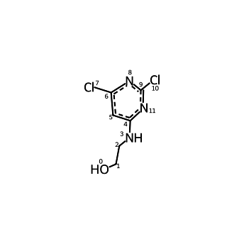 OCCNc1cc(Cl)nc(Cl)n1